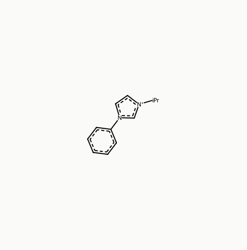 CC(C)[n+]1ccn(-c2ccccc2)c1